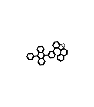 c1ccc(-c2c3ccccc3c(-c3cccc(-c4cccc5oc6ccc7ccccc7c6c45)c3)c3ccccc23)cc1